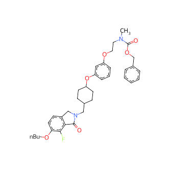 CCCCOc1ccc2c(c1F)C(=O)N(CC1CCC(Oc3cccc(OCCN(C)C(=O)OCc4ccccc4)c3)CC1)C2